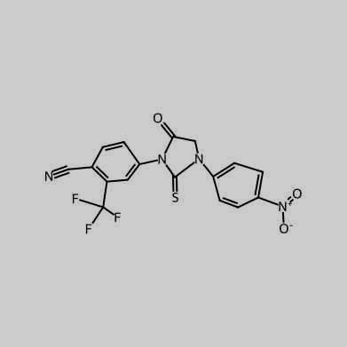 N#Cc1ccc(N2C(=O)CN(c3ccc([N+](=O)[O-])cc3)C2=S)cc1C(F)(F)F